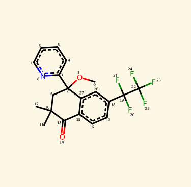 COC1(c2ccccn2)CC(C)(C)C(=O)c2ccc(C(F)(F)C(F)(F)F)cc21